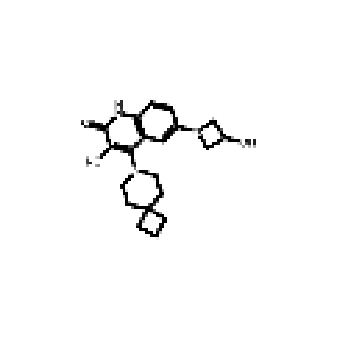 N#Cc1c(N2CCC3(CCC3)CC2)c2cc(N3CC(O)C3)ccc2[nH]c1=O